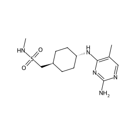 CNS(=O)(=O)C[C@H]1CC[C@H](Nc2nc(N)ncc2C)CC1